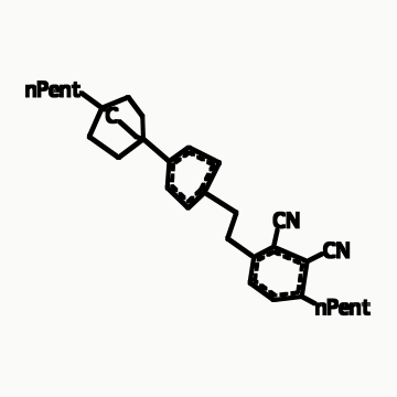 CCCCCc1ccc(CCc2ccc(C34CCC(CCCCC)(CC3)CC4)cc2)c(C#N)c1C#N